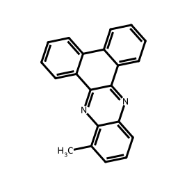 Cc1cccc2nc3c4ccccc4c4ccccc4c3nc12